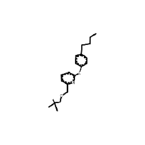 CCCCc1ccc(Oc2cccc(COCC(C)(C)C)n2)cc1